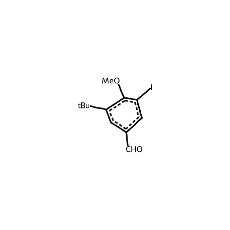 COc1c(I)cc(C=O)cc1C(C)(C)C